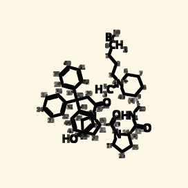 CCCC[N+]1(C)CCC[C@H](CNC(=O)[C@H]2CCCN2C(=O)[C@@H]2C[C@@H](O)CN2C(=O)CC(c2ccccc2)(c2ccccc2)c2ccccc2)C1.[Br-]